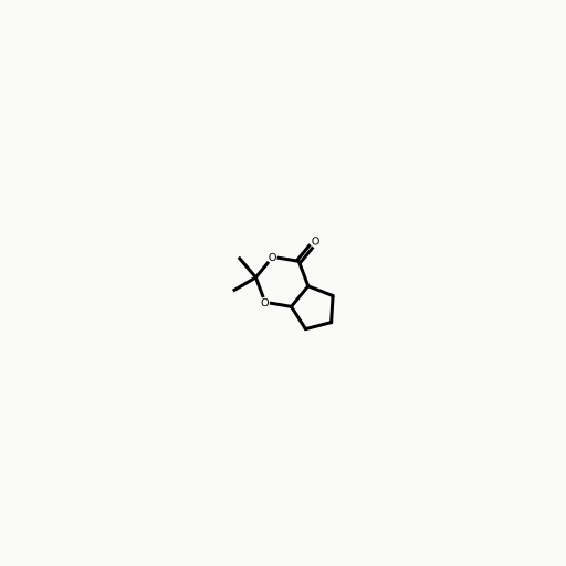 CC1(C)OC(=O)C2CCCC2O1